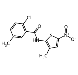 Cc1ccc(Cl)c(C(=O)Nc2sc([N+](=O)[O-])cc2C)c1